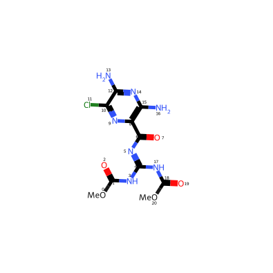 COC(=O)NC(=NC(=O)c1nc(Cl)c(N)nc1N)NC(=O)OC